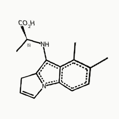 Cc1ccc2c(c1C)c(N[C@@H](C)C(=O)O)c1n2C=CC1